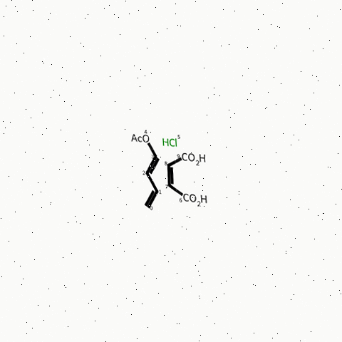 C=CC=COC(C)=O.Cl.O=C(O)/C=C\C(=O)O